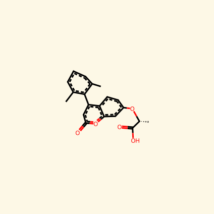 Cc1cccc(C)c1-c1cc(=O)oc2cc(O[C@H](C)C(=O)O)ccc12